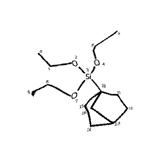 CCO[Si](OCC)(OCC)C12CCC(CC1)C2